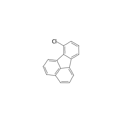 Clc1cccc2c1-c1cccc3cccc-2c13